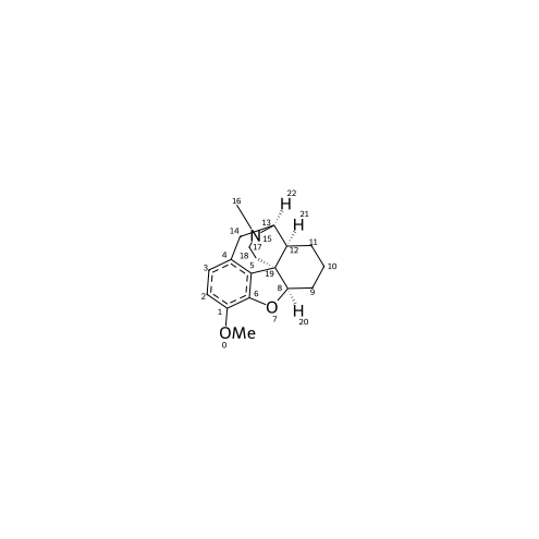 COc1ccc2c3c1O[C@@H]1CCC[C@@H]4[C@H](C2)N(C)CC[C@]341